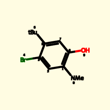 CNc1cc(Br)c(C(C)(C)C)cc1O